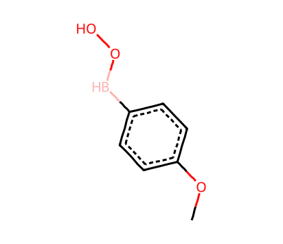 COc1ccc(BOO)cc1